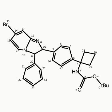 CC(C)(C)OC(=O)NC1(c2ccc(C3N=C4C=C(Br)C=CN4C3c3ccccc3)cc2)CCC1